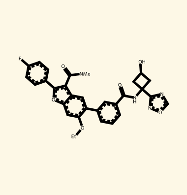 CCOc1cc2oc(-c3ccc(F)cc3)c(C(=O)NC)c2cc1-c1cccc(C(=O)NC2(c3ncon3)CC(O)C2)c1